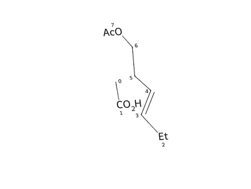 CC(=O)O.CCC=CCCOC(C)=O